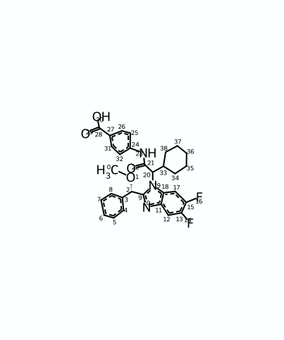 CO[C@@H](c1ccccc1)c1nc2cc(F)c(F)cc2n1C(C(=O)Nc1ccc(C(=O)O)cc1)C1CCCCC1